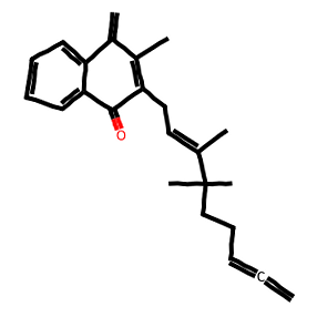 C=C=CCCC(C)(C)/C(C)=C/CC1=C(C)C(=C)c2ccccc2C1=O